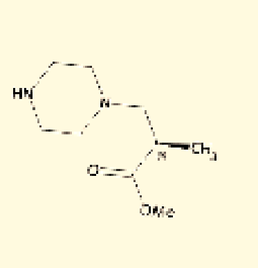 COC(=O)[C@H](C)CN1CCNCC1